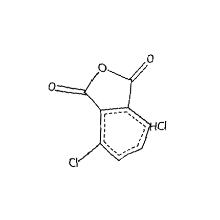 Cl.O=C1OC(=O)c2c(Cl)cccc21